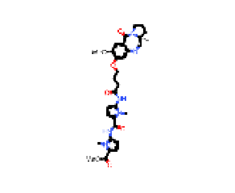 COC(=O)c1ccc(NC(=O)c2ccc(NC(=O)CCCOc3cc4c(cc3OC)C(=O)N3CCC[C@H]3C=N4)n2C)n1C